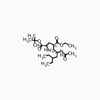 CCOC(=O)[C@@H]1C[C@H](C(=O)OC(C)(C)C)N[C@H]1[C@H](CC(CC)CC)NC(C)=O